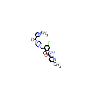 Cc1ccc(C(=O)Nc2cc(F)cc(CN3CCN(C(=O)c4ccn(C)c4)CC3)c2C)cn1